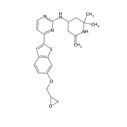 C=C1CC(Nc2nccc(-c3cc4ccc(OCC5CO5)cc4s3)n2)CC(C)(C)N1